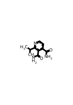 CC(C)c1nccc(C(N)=O)c1C(N)=O